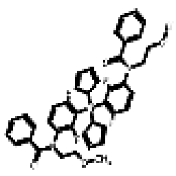 COCCN(C(=O)c1ccccc1)c1ccc(F)[c]([Ti]([c]2c(F)ccc(N(CCOC)C(=O)c3ccccc3)c2F)([CH]2C=CC=C2)[CH]2C=CC=C2)c1F